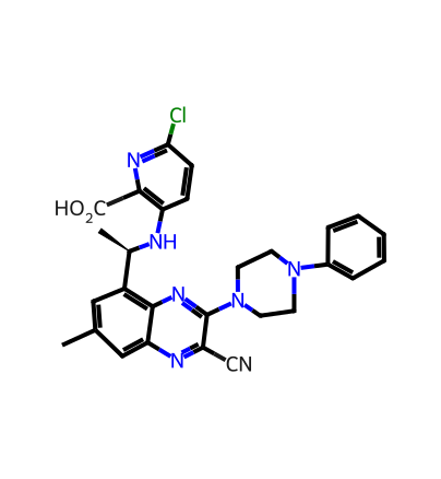 Cc1cc([C@@H](C)Nc2ccc(Cl)nc2C(=O)O)c2nc(N3CCN(c4ccccc4)CC3)c(C#N)nc2c1